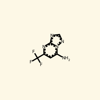 Nc1cc(C(F)(F)F)nc2ncnn12